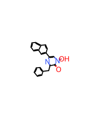 O=c1c(Cc2ccccc2)nc(-c2ccc3ccccc3c2)cn1O